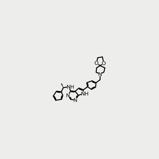 C[C@@H](Nc1ncnc2[nH]c(-c3ccc(CN4CCC5(CC4)OCCO5)cc3)cc12)c1ccccc1